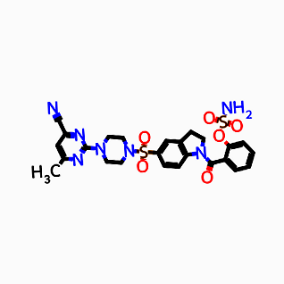 Cc1cc(C#N)nc(N2CCN(S(=O)(=O)c3ccc4c(c3)CCN4C(=O)c3ccccc3OS(N)(=O)=O)CC2)n1